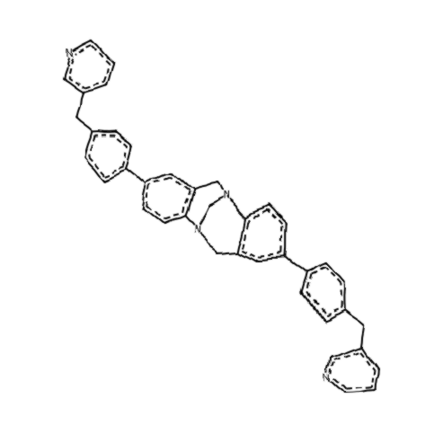 c1cncc(Cc2ccc(-c3ccc4c(c3)CN3CN4Cc4cc(-c5ccc(Cc6cccnc6)cc5)ccc43)cc2)c1